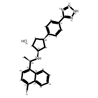 C[C@@H](N[C@H]1CC[C@@H](c2ccc(-c3nn[nH]n3)cc2)C1)c1ccc(F)c2ccccc12.Cl